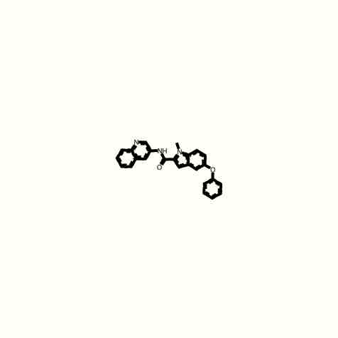 Cn1c(C(=O)Nc2cnc3ccccc3c2)cc2cc(Oc3ccccc3)ccc21